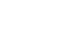 CCOc1ccc(C2[CH]C2(C)C)cc1